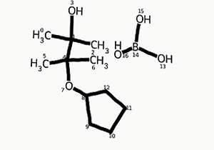 CC(C)(O)C(C)(C)OC1CCCC1.OB(O)O